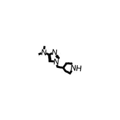 CN(C)c1cn(CC2CCNCC2)cn1